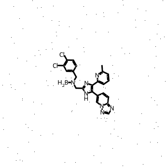 BN(Cc1ccc(Cl)c(Cl)c1)Cc1nc(-c2cccc(C)n2)c(-c2ccc3ncnn3c2)[nH]1